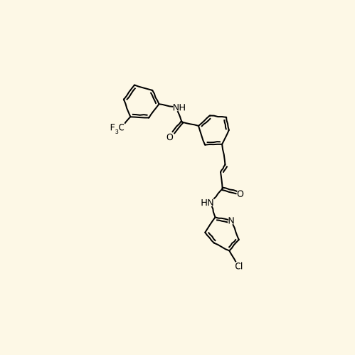 O=C(C=Cc1cccc(C(=O)Nc2cccc(C(F)(F)F)c2)c1)Nc1ccc(Cl)cn1